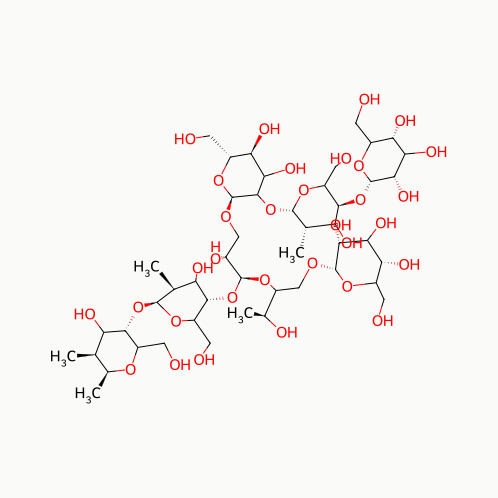 C[C@H](O)C(CO[C@H]1OC(CO)[C@@H](O)C(O)[C@H]1O)O[C@@H](O[C@@H]1C(CO)O[C@@H](O[C@@H]2C(CO)O[C@@H](C)[C@@H](C)C2O)[C@@H](C)C1O)[C@H](O)CO[C@H]1O[C@H](CO)[C@@H](O)C(O)C1O[C@@H]1OC(CO)[C@@H](O[C@@H]2OC(CO)[C@H](O)C(O)[C@@H]2O)C(O)[C@@H]1C